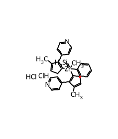 CC1=CC[C]([Zr]([CH3])(=[SiH2])([C]2=C(c3ccncc3)C(C)=CC2)[c]2ccccc2)=C1c1ccncc1.Cl.Cl